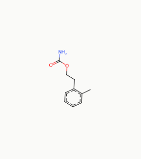 Cc1ccccc1CCOC(N)=O